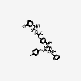 O=C(Cc1ccc(Nc2nc(NCc3ccc(F)cc3)nc(NCC3CCCCC3)n2)cc1)NNC(=S)Nc1cccc(Cl)c1